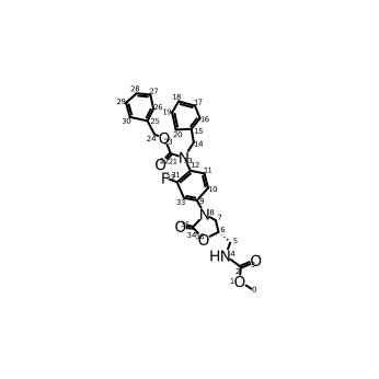 COC(=O)NC[C@H]1CN(c2ccc(N(Cc3ccccc3)C(=O)OCc3ccccc3)c(F)c2)C(=O)O1